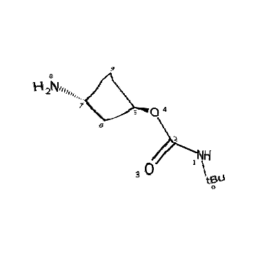 CC(C)(C)NC(=O)O[C@H]1C[C@H](N)C1